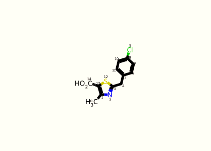 Cc1nc(Cc2ccc(Cl)cc2)sc1C(=O)O